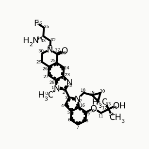 Cn1c(-c2cc3cccc(OCC(C)(C)O)c3n2CC2CC2)nc2cc3c(cc21)CCN(C[C@H](N)CF)C3=O